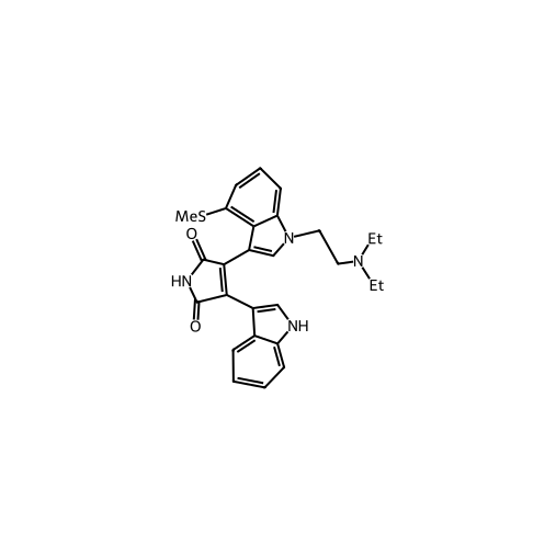 CCN(CC)CCn1cc(C2=C(c3c[nH]c4ccccc34)C(=O)NC2=O)c2c(SC)cccc21